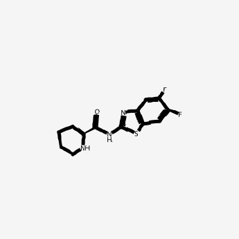 O=C(Nc1nc2cc(F)c(F)cc2s1)[C@@H]1CCCCN1